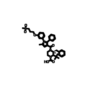 Cc1cc(C(=O)N2CCN(C(=O)O)C(C(C)(C)C)[C@H]2Cc2ccccc2)c(-c2ccccc2)n1-c1cccc(OCCCS(C)(=O)=O)c1